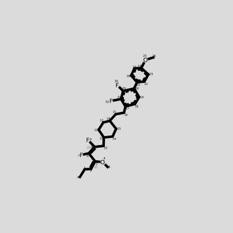 CC/C=C(OC)\C(F)=C(\F)CC1CCC(CCc2ccc(-c3ccc(OC)cc3)c(F)c2F)CC1